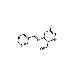 CC1=NNC(C=O)N(N=Cc2cccnc2)C1